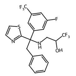 OC(CNC(Cc1ccccc1)(c1cc(F)cc(C(F)(F)F)c1)c1nccs1)C(F)(F)F